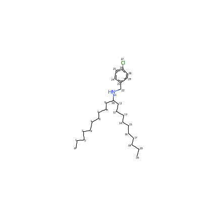 CCCCCCCCCCC(CCCCCCCCCC)NCc1ccc(Cl)cc1